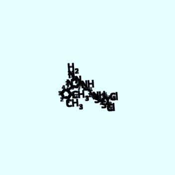 Cc1cccc(-c2cc(NCCCNSc3cc(Cl)c(Cl)s3)nc(N)n2)c1C